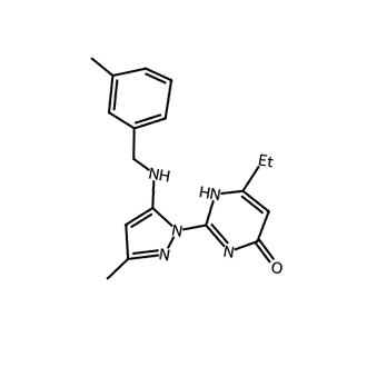 CCc1cc(=O)nc(-n2nc(C)cc2NCc2cccc(C)c2)[nH]1